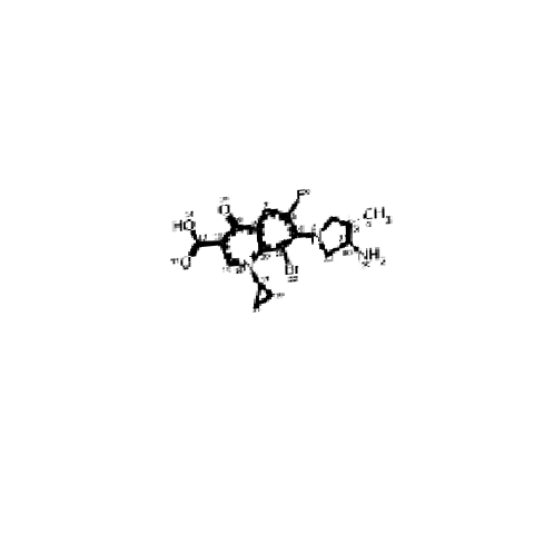 C[C@H]1CN(c2c(F)cc3c(=O)c(C(=O)O)cn(C4CC4)c3c2Br)C[C@@H]1N